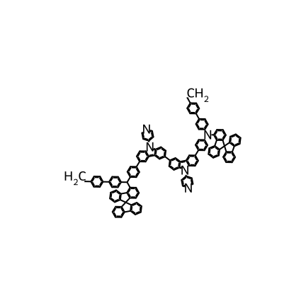 C=Cc1ccc(-c2ccc(C(c3ccc(-c4ccc5c(c4)c4cc(-c6ccc7c(c6)c6cc(-c8ccc(N(c9ccc(-c%10ccc(C=C)cc%10)cc9)c9cccc%10c9-c9ccccc9C%109c%10ccccc%10-c%10ccccc%109)cc8)ccc6n7-c6ccncc6)ccc4n5-c4ccncc4)cc3)c3cccc4c3-c3ccccc3C43c4ccccc4-c4ccccc43)cc2)cc1